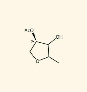 CC(=O)O[C@@H]1COC(C)C1O